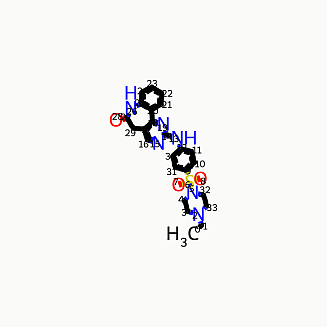 CCN1CCN(S(=O)(=O)c2ccc(Nc3ncc4c(n3)-c3ccccc3NC(=O)C4)cc2)CC1